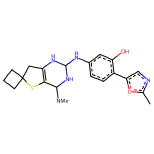 CNC1NC(Nc2ccc(-c3cnc(C)o3)c(O)c2)NC2=C1SC1(CCC1)C2